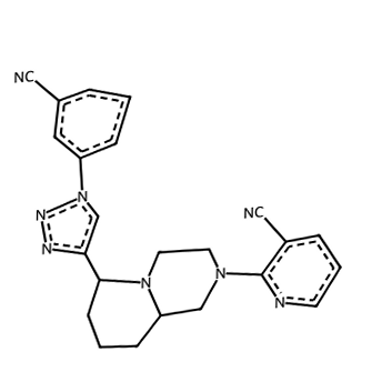 N#Cc1cccc(-n2cc(C3CCCC4CN(c5ncccc5C#N)CCN43)nn2)c1